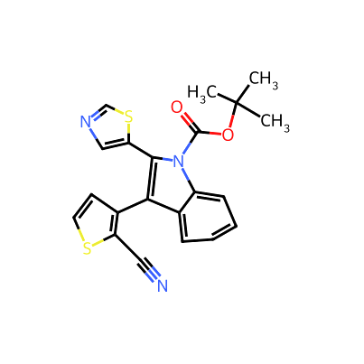 CC(C)(C)OC(=O)n1c(-c2cncs2)c(-c2ccsc2C#N)c2ccccc21